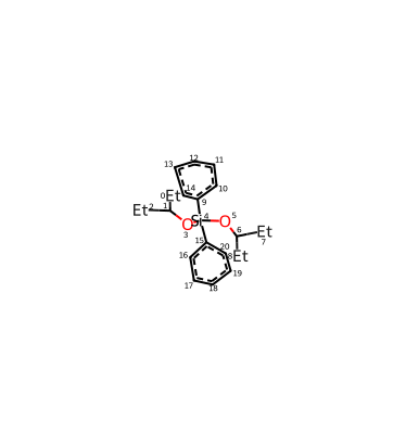 CCC(CC)O[Si](OC(CC)CC)(c1ccccc1)c1ccccc1